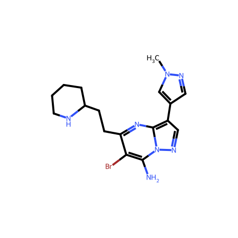 Cn1cc(-c2cnn3c(N)c(Br)c(CCC4CCCCN4)nc23)cn1